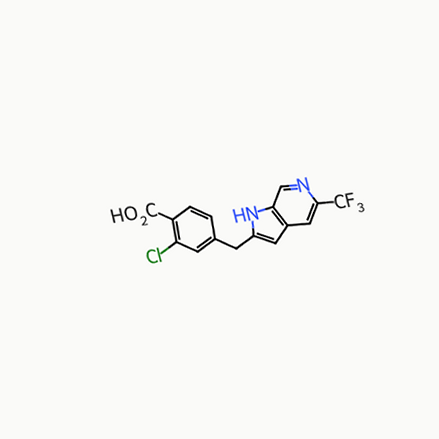 O=C(O)c1ccc(Cc2cc3cc(C(F)(F)F)ncc3[nH]2)cc1Cl